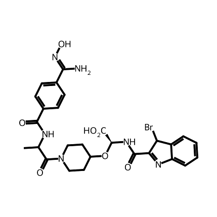 CC(NC(=O)c1ccc(/C(N)=N/O)cc1)C(=O)N1CCC(O[C@H](NC(=O)C2=Nc3ccccc3C2Br)C(=O)O)CC1